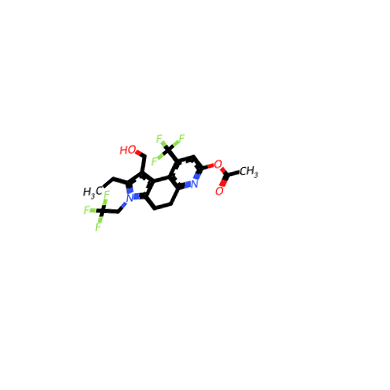 CCc1c(CO)c2c(n1CC(F)(F)F)CCc1nc(OC(C)=O)cc(C(F)(F)F)c1-2